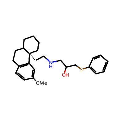 COc1ccc2c(c1)[C@]1(CCNCC(O)CSc3ccccc3)CCCCC1CC2